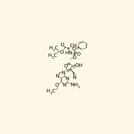 CCOc1nc(N)nc2c1ncn2[C@@H]1O[C@H](CO[P@@](=O)(N[C@@H](C)C(=O)OC(C)C)Oc2ccccc2)[C@@H](O)[C@H]1C#N